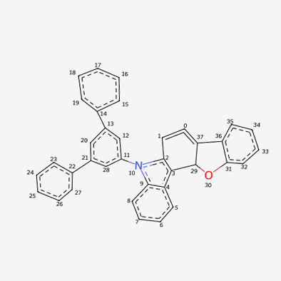 C1=Cc2c(c3ccccc3n2-c2cc(-c3ccccc3)cc(-c3ccccc3)c2)C2Oc3ccccc3C=12